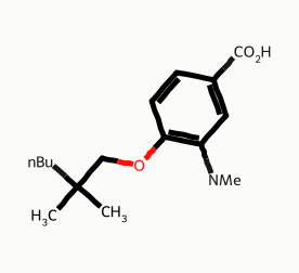 CCCCC(C)(C)COc1ccc(C(=O)O)cc1NC